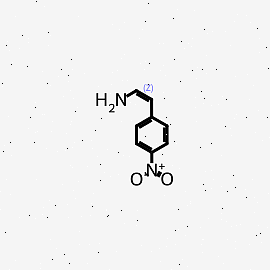 N/C=C\c1ccc([N+](=O)[O-])cc1